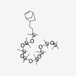 C[Si](C)(C)O[Si](C)(C)O[Si](C)(C)O[Si](C)(C)O[Si](C)(C)O[Si](C)(C)O[Si](C)(C)O[Si](C)(C)CCC1CC2C=CC1C2